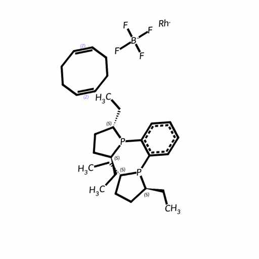 C1=C\CC/C=C\CC/1.CC[C@H]1CC[C@H](CC)P1c1ccccc1P1[C@@H](CC)CC[C@@H]1CC.F[B-](F)(F)F.[Rh]